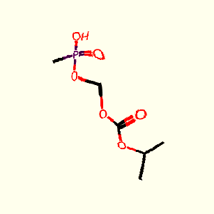 CC(C)OC(=O)OCOP(C)(=O)O